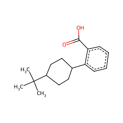 CC(C)(C)C1CCC(c2ccccc2C(=O)O)CC1